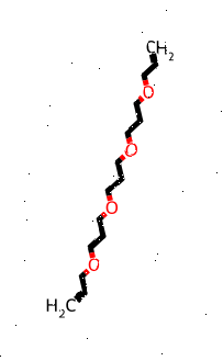 C=CCOCCCOCCCOCCCOCC=C